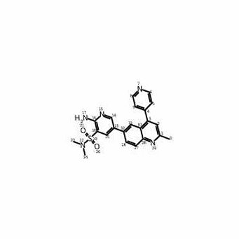 Cc1cc(-c2ccncc2)c2cc(-c3cnc(N)c(S(=O)(=O)N(C)C)c3)ccc2n1